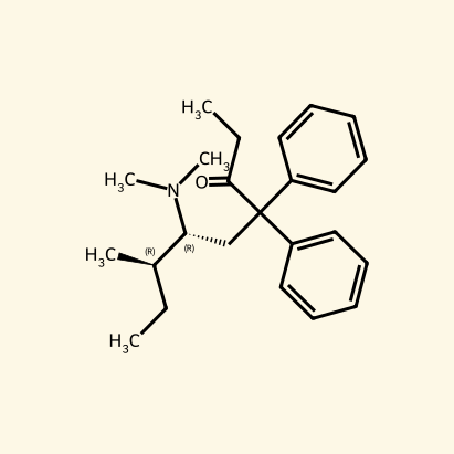 CCC(=O)C(C[C@H]([C@H](C)CC)N(C)C)(c1ccccc1)c1ccccc1